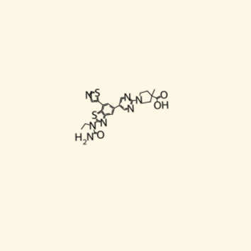 CCN(C(N)=O)c1nc2cc(-c3cnc(N4CCC(C)(C(=O)O)CC4)nc3)cc(-c3cncs3)c2s1